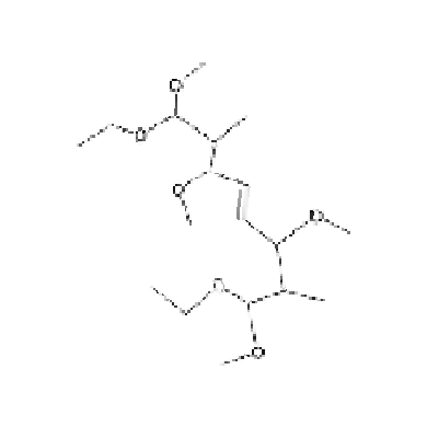 CCOC(OC)C(C)C(C=CC(OC)C(C)C(OC)OCC)OC